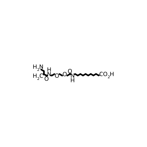 C=C(CCN)C(=O)NCCOCCOCC(=O)NCCCCCCCCCCC(=O)O